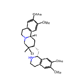 CC[C@@]1(C)CN2CCc3cc(OC)c(OC)cc3[C@@H]2C[C@@H]1C[C@H]1NCCc2cc(OC)c(OC)cc21